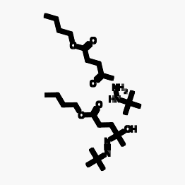 CC(C)(C)NN.CCCCOC(=O)CCC(C)(O)N=NC(C)(C)C.CCCCOC(=O)CCC(C)=O